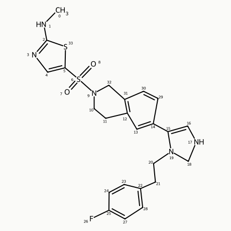 CNc1ncc(S(=O)(=O)N2CCc3cc(C4=CNCN4CCc4ccc(F)cc4)ccc3C2)s1